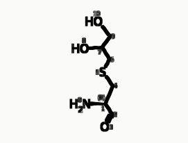 N[C@H]([C]=O)CSCC(O)CO